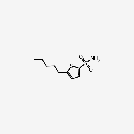 CCCCCc1ccc(S(N)(=O)=O)s1